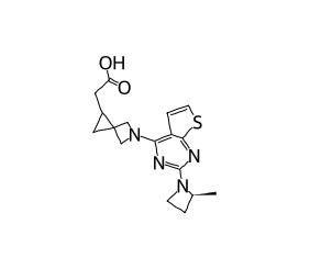 C[C@H]1CCN1c1nc(N2CC3(CC3CC(=O)O)C2)c2ccsc2n1